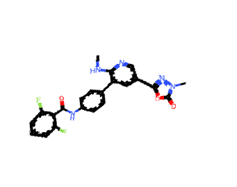 CNc1ncc(-c2nn(C)c(=O)o2)cc1-c1ccc(NC(=O)c2c(F)cccc2F)cc1